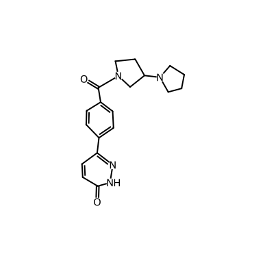 O=C(c1ccc(-c2ccc(=O)[nH]n2)cc1)N1CCC(N2CCCC2)C1